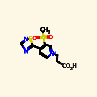 CS(=O)(=O)c1c[n+](CCC(=O)O)ccc1-c1ncns1